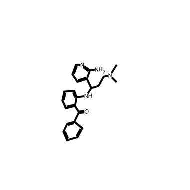 CN(C)CCC(Nc1ccccc1C(=O)c1ccccc1)c1cccnc1N